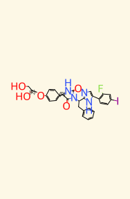 O=C1N[C@H](c2ccc(OC[C@H](O)CO)cc2)C(=O)N1C(Cc1ccccc1)c1ncc(-c2ccc(I)cc2F)[nH]1